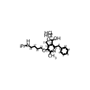 Cc1nc(Cc2ccccc2)c2c(c1OCCCCNC(C)C)COC2O.Cl.Cl